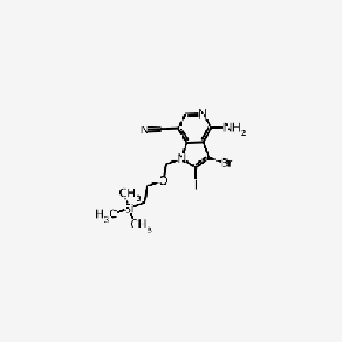 C[Si](C)(C)CCOCn1c(I)c(Br)c2c(N)ncc(C#N)c21